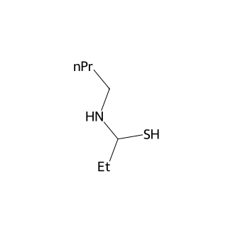 CCCCNC(S)CC